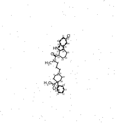 CN(CCCN1CCC(c2ccccc2)(N(C)C)CC1)C(=O)C1CCCc2c1[nH]c1ccc(Cl)cc21